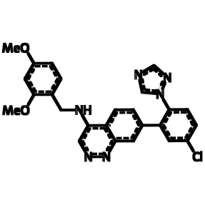 COc1ccc(CNc2cnnc3cc(-c4cc(Cl)ccc4-n4cncn4)ccc23)c(OC)c1